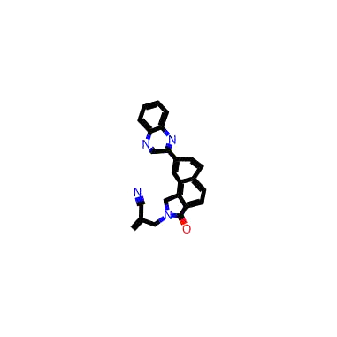 C=C(C#N)CN1Cc2c(ccc3ccc(-c4cnc5ccccc5n4)cc23)C1=O